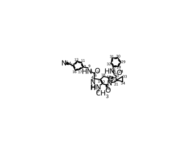 CNC1=C(C(=N)C(=O)NCc2ccc(C#N)cc2)CCN(CC2(S(=O)(=O)Nc3ccccc3)CC2)C1=O